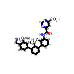 COc1cc(-c2cccc(-c3cccc(NC(=O)c4cc(C(=O)O)ncn4)c3C)c2C)cc(F)c1CN